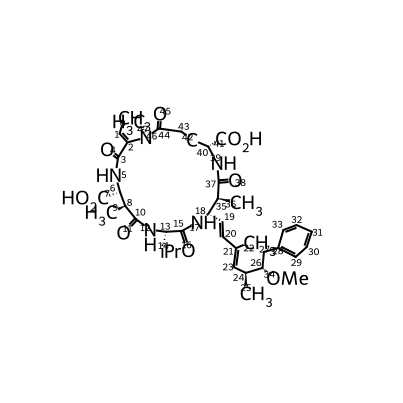 C/C=C1/C(=O)N[C@@H](C(=O)O)[C@H](C)C(=O)N[C@@H](C(C)C)C(=O)N[C@@H](/C=C/C(C)=C/[C@H](C)[C@H](Cc2ccccc2)OC)[C@H](C)C(=O)N[C@@H](C(=O)O)CCC(=O)N1C